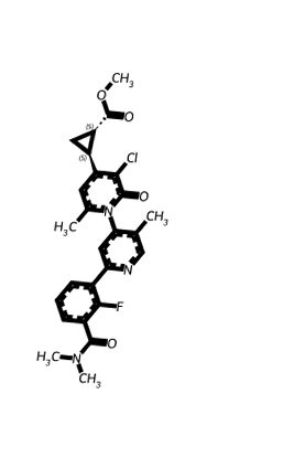 COC(=O)[C@H]1C[C@@H]1c1cc(C)n(-c2cc(-c3cccc(C(=O)N(C)C)c3F)ncc2C)c(=O)c1Cl